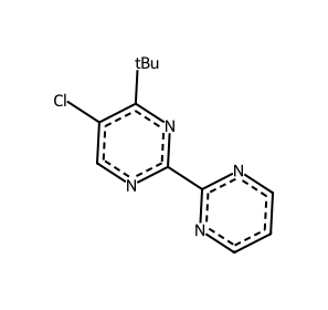 CC(C)(C)c1nc(-c2ncccn2)ncc1Cl